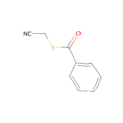 N#CCSC(=O)c1ccccc1